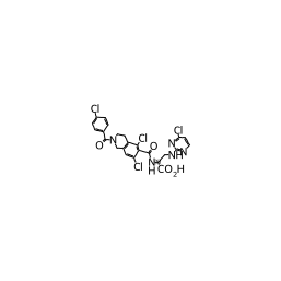 O=C(N[C@@H](CNc1nccc(Cl)n1)C(=O)O)c1c(Cl)cc2c(c1Cl)CCN(C(=O)c1ccc(Cl)cc1)C2